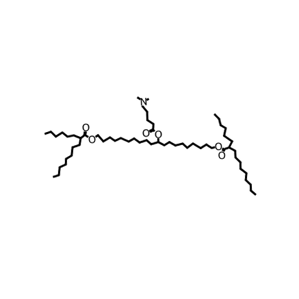 CCCCCCCCCC(CCCCCC)C(=O)OCCCCCCCCCC(CCCCCCCCCCOC(=O)C(CCCCCC)CCCCCCCC)OC(=O)CCCCN(C)C